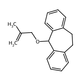 C=C(C)COC1c2ccccc2CCc2ccccc21